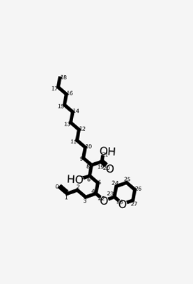 C=CCCC(CC(O)C(CCCCCCCCCC)C(=O)O)OC1CCCCO1